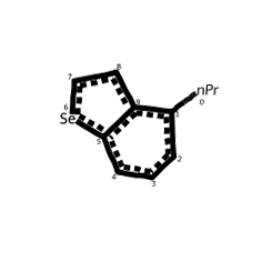 CCCc1cccc2[se]ccc12